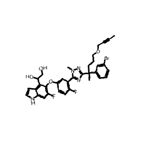 CC#CCOCCCC(C)(c1cccc(Br)c1)c1nc(-c2cc(Oc3c(F)cc4[nH]ccc4c3C(O)CO)ccc2F)n(C)n1